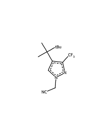 CC(C)(C)C(C)(C)c1cn(CC#N)nc1C(F)(F)F